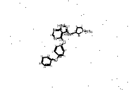 CC(C)(C)N1CCC(Nc2n[nH]c3ncnc(Oc4ccc(Oc5ccccc5)cc4)c23)C1